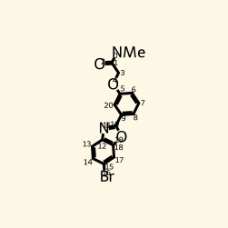 CNC(=O)COc1cccc(-c2nc3ccc(Br)cc3o2)c1